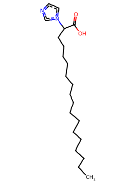 CCCCCCCCCCCCCCCCC(C(=O)O)n1ccnc1